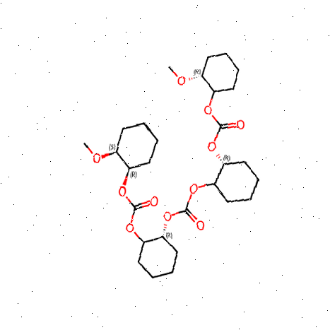 CO[C@H]1CCCC[C@H]1OC(=O)OC1CCCC[C@H]1OC(=O)OC1CCCC[C@H]1OC(=O)OC1CCCC[C@H]1OC